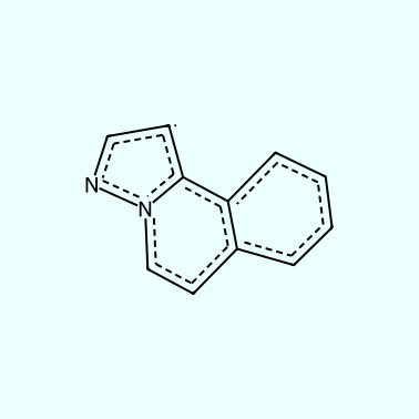 [c]1cnn2ccc3ccccc3c12